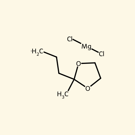 [CH2]CCC1(C)OCCO1.[Cl][Mg][Cl]